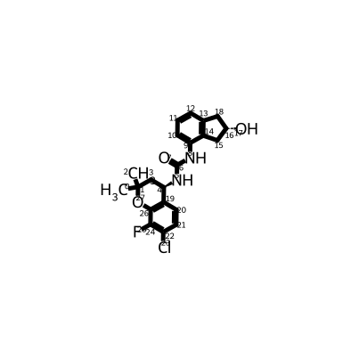 CC1(C)C[C@@H](NC(=O)Nc2cccc3c2C[C@@H](O)C3)c2ccc(Cl)c(F)c2O1